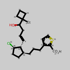 CCC1(C(O)CC=C[C@@H]2[C@@H](CCCc3ccsc3C(=O)O)CC[C@H]2Cl)CCC1